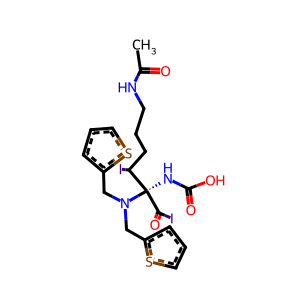 CC(=O)NCCCC(I)[C@@](NC(=O)O)(C(=O)I)N(Cc1cccs1)Cc1cccs1